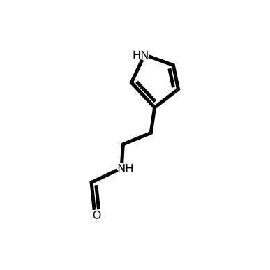 O=CNCCc1cc[nH]c1